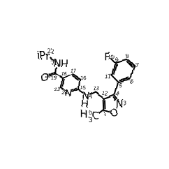 Cc1onc(-c2cccc(F)c2)c1CNc1ccc(C(=O)NC(C)C)cn1